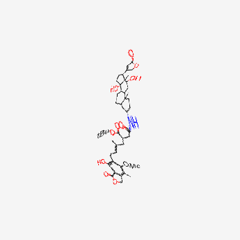 COc1c(C)c2c(c(O)c1C/C=C(\C)CC(CC(=O)N[C@H]1CCC3(C)C(CCC4C3CC(O)C3(C)C(C5=CC(=O)OC5)CCC43O)C1)C(=O)OC(C)(C)C)C(=O)OC2